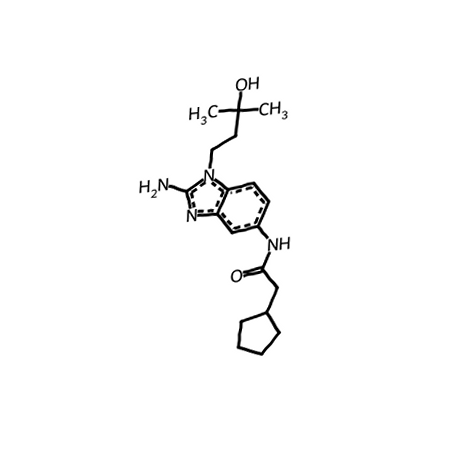 CC(C)(O)CCn1c(N)nc2cc(NC(=O)CC3CCCC3)ccc21